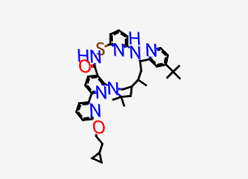 CC1CC(c2cc(C(C)(C)C)ccn2)Nc2cccc(n2)SNC(=O)c2ccc(-c3cccc(OCCC4CC4)n3)nc2N2CC1CC2(C)C